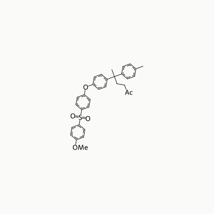 COc1ccc(S(=O)(=O)c2ccc(Oc3ccc(C(C)(CCC(C)=O)c4ccc(C)cc4)cc3)cc2)cc1